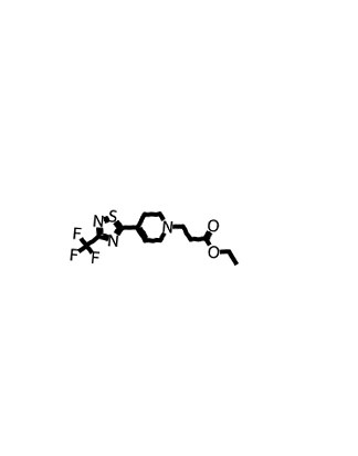 CCOC(=O)CCN1CC=C(c2nc(C(F)(F)F)ns2)CC1